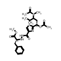 COC(=O)[C@H](Cc1ccccc1)NNC(=O)c1csc([C@@H](CC(C(C)C)N(C)C(C)=O)OC(C)=O)n1